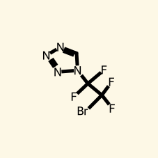 FC(F)(Br)C(F)(F)n1cnnn1